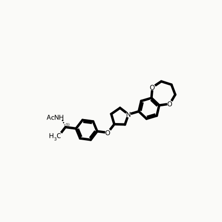 CC(=O)N[C@@H](C)c1ccc(OC2CCN(c3ccc4c(c3)OCCCO4)C2)cc1